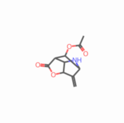 C=C1C2NC3C1OC(=O)C3C2OC(C)=O